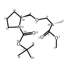 COC(=O)[C@@H](C)COC[C@@H]1CCCN1C(=O)OC(C)(C)C